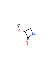 CC(=O)OC1CNC1=O